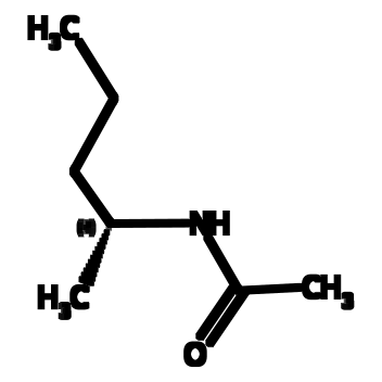 CCC[C@@H](C)NC(C)=O